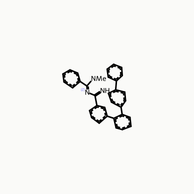 CN/C(=N\C(=N)c1cccc(-c2ccccc2-c2ccc(-c3ccccc3)cc2)c1)c1ccccc1